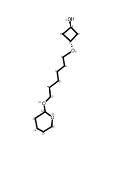 O[C@H]1C[C@H](OCCCCCCOC2CCCCO2)C1